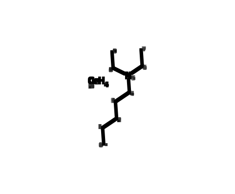 [CH2]CCCCN(CC)CC.[GeH4]